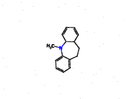 CN1c2ccccc2CCC2C=CC=CC21